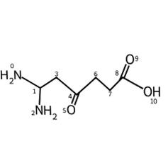 NC(N)CC(=O)CCC(=O)O